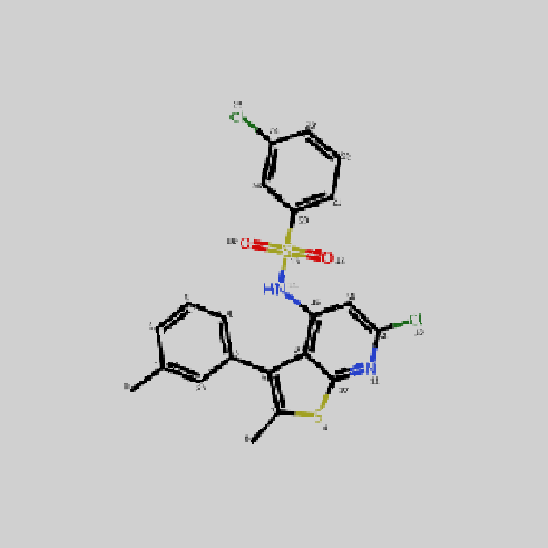 Cc1cccc(-c2c(C)sc3nc(Cl)cc(NS(=O)(=O)c4cccc(Cl)c4)c23)c1